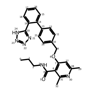 CCCNC(=O)c1c(OCc2ccc(-c3ccccc3-c3nnn[nH]3)cc2)cc(C)nc1C